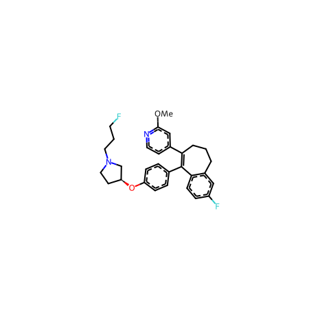 COc1cc(C2=C(c3ccc(O[C@H]4CCN(CCCF)C4)cc3)c3ccc(F)cc3CCC2)ccn1